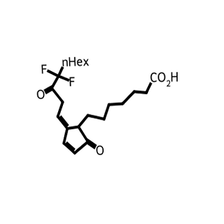 CCCCCCC(F)(F)C(=O)C/C=C1/C=CC(=O)C1CCCCCCC(=O)O